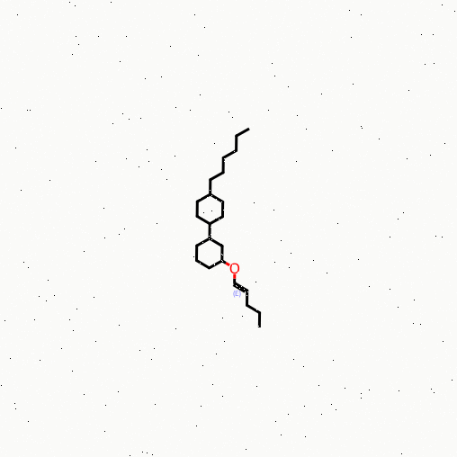 CCC/C=C/OC1CCCC(C2CCC(CCCCCC)CC2)C1